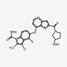 CNC(=O)n1c(C)c(Cl)c2c(F)c(Oc3ccnc4cc(C(=O)N5CCC(OC)C5)sc34)ccc21